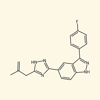 C=C(C)Cc1nc(-c2ccc3[nH]nc(-c4ccc(F)cc4)c3c2)n[nH]1